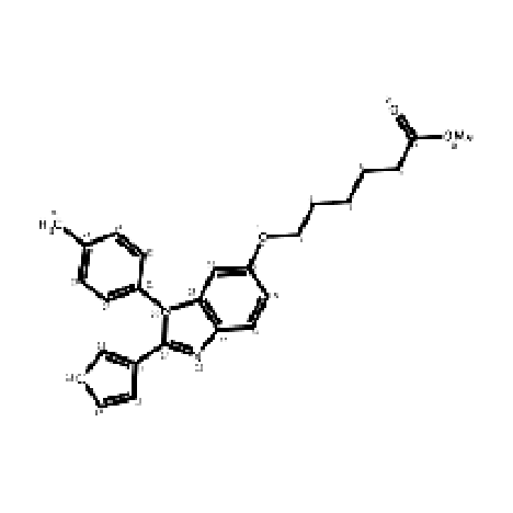 COC(=O)CCCCCOc1ccc2nc(-c3ccoc3)n(-c3ccc(C)cc3)c2c1